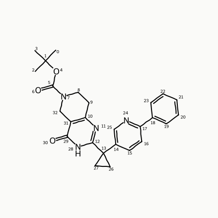 CC(C)(C)OC(=O)N1CCc2nc(C3(c4ccc(-c5ccccc5)nc4)CC3)[nH]c(=O)c2C1